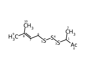 CC(=O)C(C)SSSCC=C(C)C